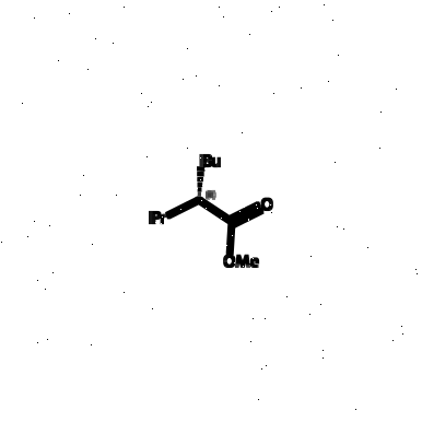 CCC(C)[C@H](C(=O)OC)C(C)C